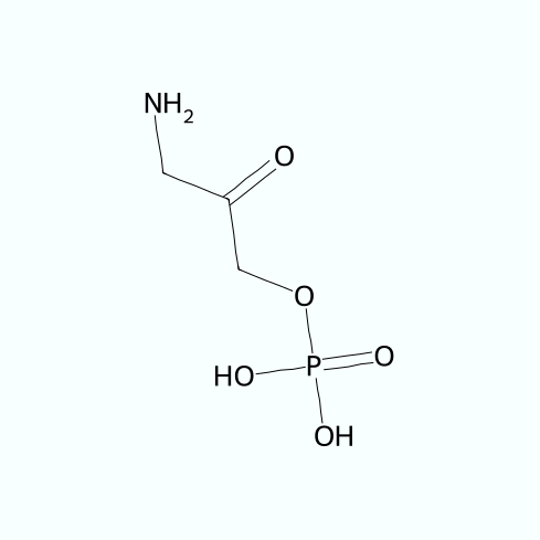 NCC(=O)COP(=O)(O)O